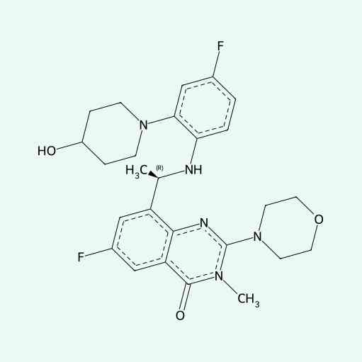 C[C@@H](Nc1ccc(F)cc1N1CCC(O)CC1)c1cc(F)cc2c(=O)n(C)c(N3CCOCC3)nc12